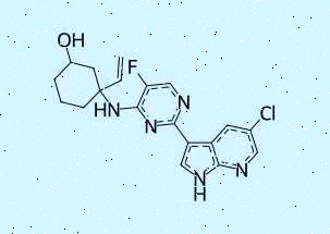 C=CC1(Nc2nc(-c3c[nH]c4ncc(Cl)cc34)ncc2F)CCCC(O)C1